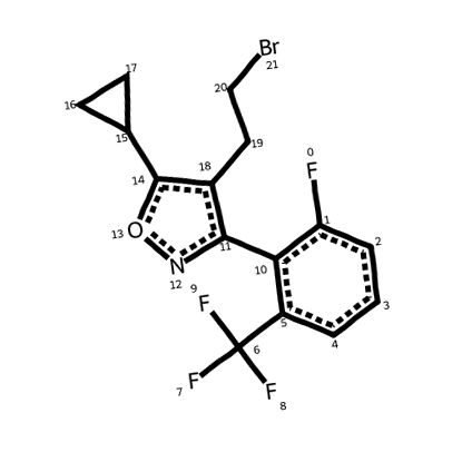 Fc1cccc(C(F)(F)F)c1-c1noc(C2CC2)c1CCBr